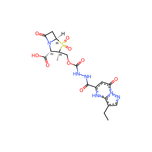 CCc1cnn2c(=O)cc(C(=O)NNC(=O)OC[C@@]3(C)[C@H](C(=O)O)N4C(=O)C[C@H]4S3(=O)=O)[nH]c12